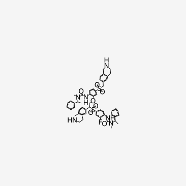 CC(c1ccccc1)N(C)C(=O)Nc1ccc(S(=O)(=O)C(COc2cc(S(=O)(=O)Cc3ccc4c(c3)CCNC4)ccc2NC(=O)N(C)C(C)c2ccccc2)c2ccc3c(c2)CCNC3)cc1F